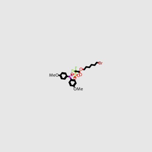 COc1ccc([I+](OS(=O)(=O)C(F)(F)C(=O)OCCCCCCBr)c2ccc(OC)cc2)cc1